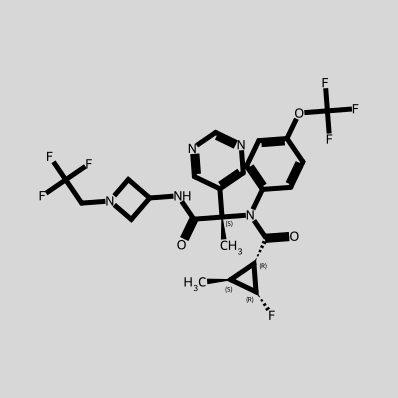 C[C@@H]1[C@@H](F)[C@H]1C(=O)N(c1ccc(OC(F)(F)F)cc1)[C@](C)(C(=O)NC1CN(CC(F)(F)F)C1)c1cncnc1